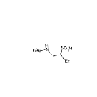 CCCCNCC(CC)S(=O)(=O)O